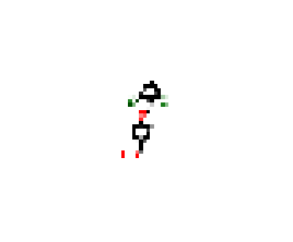 OCc1ccc(OCc2c(Cl)cccc2Cl)cc1